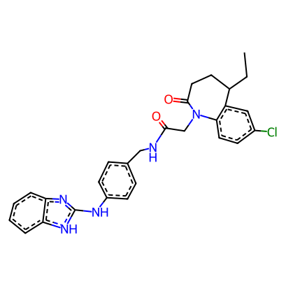 CCC1CCC(=O)N(CC(=O)NCc2ccc(Nc3nc4ccccc4[nH]3)cc2)c2ccc(Cl)cc21